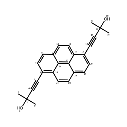 CC(C)(O)C#Cc1ccc2ccc3c(C#CC(C)(C)O)ccc4ccc1c2c43